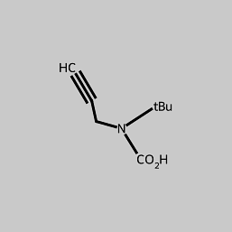 C#CCN(C(=O)O)C(C)(C)C